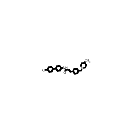 CC1CCN(Cc2ccc(C=CC(=O)Nc3ccc(-c4ccc(Cl)cc4)cc3)cc2)CC1